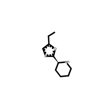 CCc1cnc([C@@H]2CCCCN2)o1